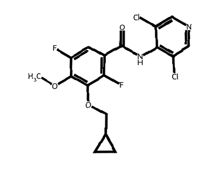 COc1c(F)cc(C(=O)Nc2c(Cl)cncc2Cl)c(F)c1OCC1CC1